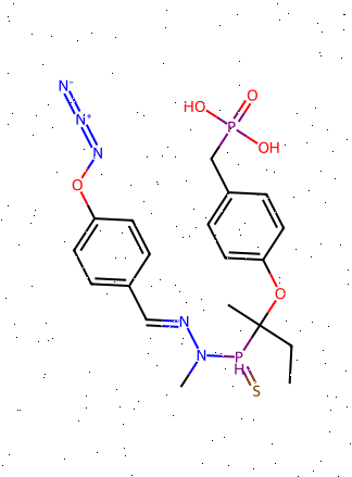 CCC(C)(Oc1ccc(CP(=O)(O)O)cc1)[PH](=S)N(C)/N=C/c1ccc(ON=[N+]=[N-])cc1